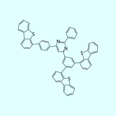 c1ccc(-c2nc(-c3ccc(-c4cccc5c4sc4ccccc45)cc3)cc(-c3cc(-c4cccc5c4sc4ccccc45)cc(-c4cccc5c4sc4ccccc45)c3)n2)cc1